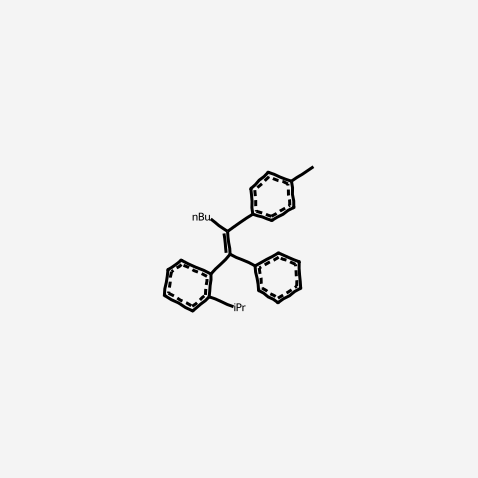 CCCCC(=C(c1ccccc1)c1ccccc1C(C)C)c1ccc(C)cc1